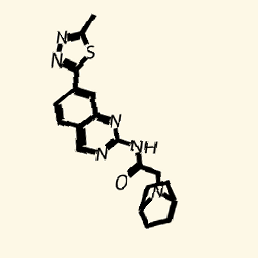 Cc1nnc(-c2ccc3cnc(NC(=O)CN4C5CCC4CC5)nc3c2)s1